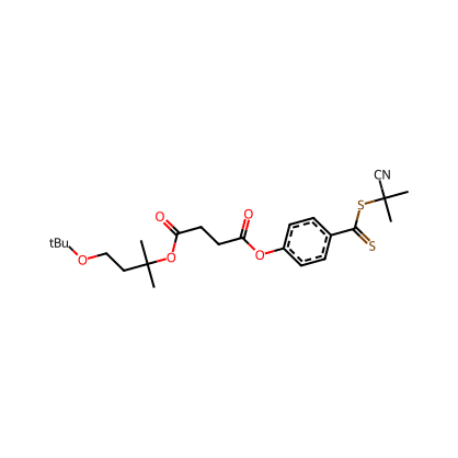 CC(C)(C)OCCC(C)(C)OC(=O)CCC(=O)Oc1ccc(C(=S)SC(C)(C)C#N)cc1